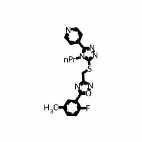 CCCn1c(SCc2noc(-c3cc(C)ccc3F)n2)nnc1-c1ccncc1